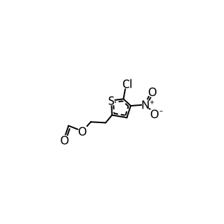 O=COCCc1cc([N+](=O)[O-])c(Cl)s1